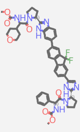 COC(=O)NC(C(=O)N1CCC[C@H]1c1nc2ccc(-c3ccc4c(c3)C(F)(F)c3cc(-c5cnc([C@@H]6CCCN6C(=O)[C@H](NC(=O)OC)c6ccccc6)[nH]5)ccc3-4)cc2[nH]1)C1CCOCC1